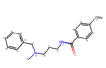 COc1ccc(C(=O)NCCCN(C)Cc2ccccc2)cc1